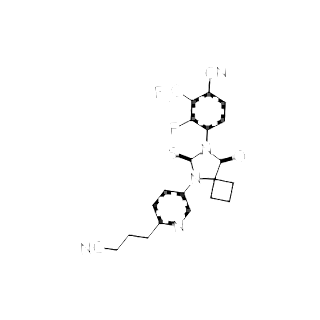 N#CCCCc1ccc(N2C(=S)N(c3ccc(C#N)c(C(F)(F)F)c3F)C(=O)C23CCC3)cn1